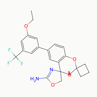 CCOc1cc(-c2ccc3c(c2)C2(COC(N)=N2)C2(COC2)C2(CCC2)O3)cc(C(F)(F)F)c1